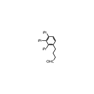 CC(C)c1ccc(CCC[C]=O)c(C(C)C)c1C(C)C